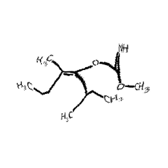 CC/C(C)=C(/OC(=N)OC)C(C)C